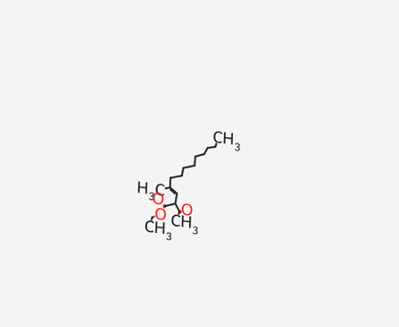 CCCCCCCCCC(C)=CC(C(C)=O)C(=O)OCC